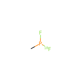 CP(F)[18F]